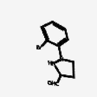 O=CC1CCN(c2ccccc2Br)N1